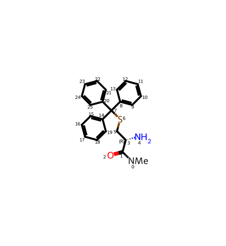 CNC(=O)[C@@H](N)CSC(c1ccccc1)(c1ccccc1)c1ccccc1